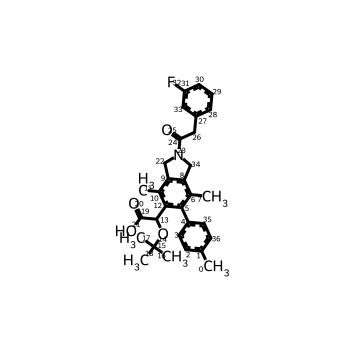 Cc1ccc(-c2c(C)c3c(c(C)c2C(OC(C)(C)C)C(=O)O)CN(C(=O)Cc2cccc(F)c2)C3)cc1